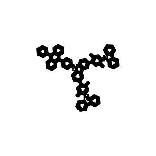 Cc1cc(-n2c3ccccc3c3ccccc32)c(C)cc1-c1ccc2c(c1)c1cc(-c3cc(C)c(-n4c5ccccc5c5ccccc54)cc3C)ccc1n2-c1ccc(-c2c3ccccc3c(-c3ccccc3)c3ccccc23)cc1